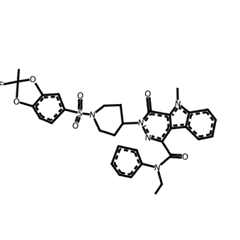 CCN(C(=O)c1nn(C2CCN(S(=O)(=O)c3ccc4c(c3)OC(C)(F)O4)CC2)c(=O)c2c1c1ccccc1n2C)c1ccccc1